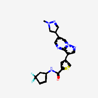 CN1CC(c2cnc3c(-c4csc(C(=O)NC5CCC(F)(F)C5)c4)cnn3c2)C=N1